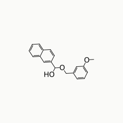 COc1cccc(COC(O)c2ccc3ccccc3c2)c1